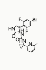 Cc1cccc(C2(NC(=O)N[C@@H]3C(=O)NC[C@H]3c3c(F)cc(Br)cc3F)CC2)n1